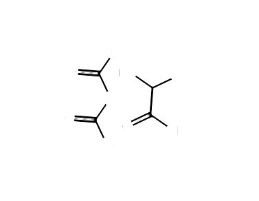 CC(=O)OC(C)=O.CC(C)C(=O)Cl